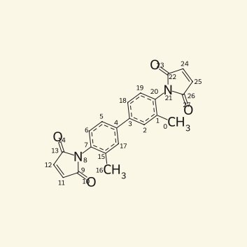 Cc1cc(-c2ccc(N3C(=O)C=CC3=O)c(C)c2)ccc1N1C(=O)C=CC1=O